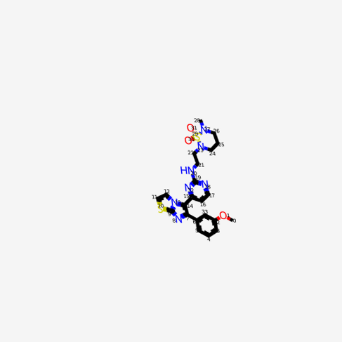 COc1cccc(-c2nc3sccn3c2-c2ccnc(NCCN3CCCN(C)S3(=O)=O)n2)c1